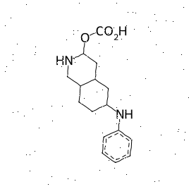 O=C(O)OC1CC2CC(Nc3ccccc3)CCC2CN1